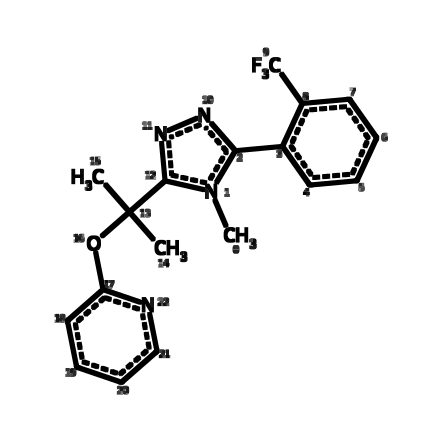 Cn1c(-c2ccccc2C(F)(F)F)nnc1C(C)(C)Oc1ccccn1